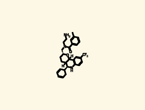 Cc1cccc(C(=O)N(CCN)C[C@H]2CC[C@@H]3[C@H](O2)c2cc(C(F)(F)F)ccc2N[C@H]3C2C=CC=CC2)c1